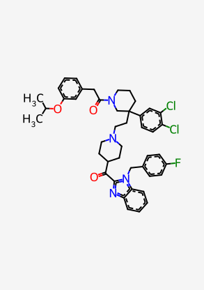 CC(C)Oc1cccc(CC(=O)N2CCCC(CCN3CCC(C(=O)c4nc5ccccc5n4Cc4ccc(F)cc4)CC3)(c3ccc(Cl)c(Cl)c3)C2)c1